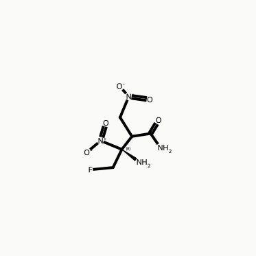 NC(=O)C(C[N+](=O)[O-])[C@](N)(CF)[N+](=O)[O-]